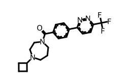 O=C(c1ccc(-c2ccc(C(F)(F)F)nn2)cc1)N1CCCN(C2CCC2)CC1